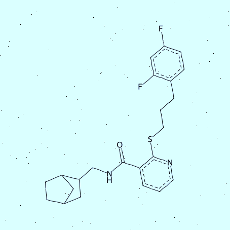 O=C(NCC1CC2CCC1C2)c1cccnc1SCCCc1ccc(F)cc1F